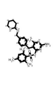 Cc1cc(C)c(S(=O)(=O)Oc2nc(N)nc(C)c2Cc2ccc(COC3CCCCO3)cc2)c(C)c1